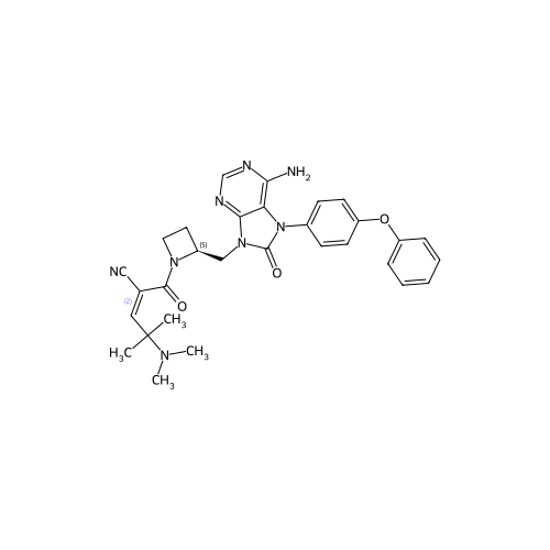 CN(C)C(C)(C)/C=C(/C#N)C(=O)N1CC[C@H]1Cn1c(=O)n(-c2ccc(Oc3ccccc3)cc2)c2c(N)ncnc21